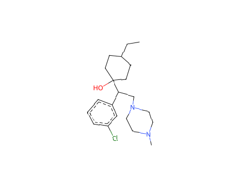 CCC1CCC(O)(C(CN2CCN(C)CC2)c2cccc(Cl)c2)CC1